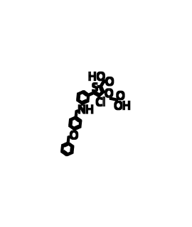 O=C(O)COc1c(C(=O)O)sc(-c2cccc(NCc3ccc(OCc4ccccc4)cc3)c2)c1Cl